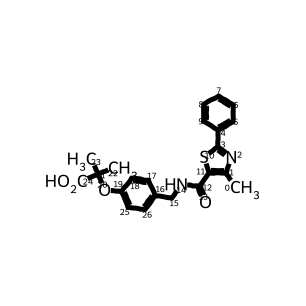 Cc1nc(-c2ccccc2)sc1C(=O)NCc1ccc(OC(C)(C)C(=O)O)cc1